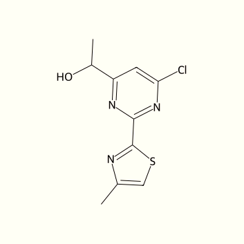 Cc1csc(-c2nc(Cl)cc(C(C)O)n2)n1